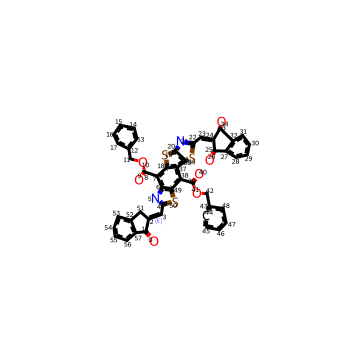 O=C1/C(=C/c2nc3c(C(=O)OCc4ccccc4)c4sc5nc(C=C6C(=O)c7ccccc7C6=O)sc5c4c(C(=O)OCc4ccccc4)c3s2)Cc2ccccc21